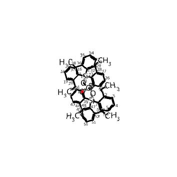 CCc1ccccc1[Si]([O][Cr](=[O])(=[O])[O][Si](c1ccccc1CC)(c1ccccc1CC)c1ccccc1CC)(c1ccccc1CC)c1ccccc1CC